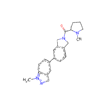 Cn1ncc2cc(-c3ccc4c(c3)CN(C(=O)C3CCCN3C#N)C4)ccc21